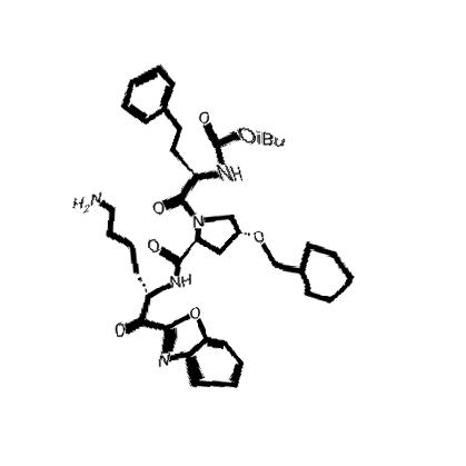 CC(C)COC(=O)N[C@H](CCc1ccccc1)C(=O)N1C[C@H](OCC2CCCCC2)C[C@H]1C(=O)N[C@@H](CCCCN)C(=O)c1nc2ccccc2o1